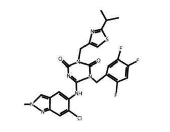 CC(C)c1nc(Cn2c(=O)nc(Nc3cc4cn(C)nc4cc3Cl)n(Cc3cc(F)c(F)cc3F)c2=O)cs1